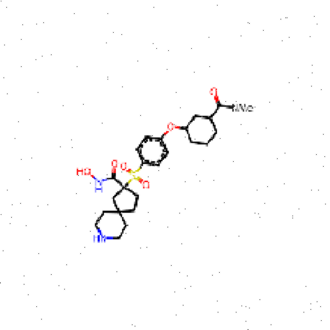 CNC(=O)C1CCCC(Oc2ccc(S(=O)(=O)C3(C(=O)NO)CCC4(CCNCC4)C3)cc2)C1